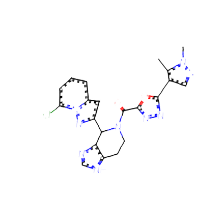 Cc1c(-c2nnc(C(=O)N3CCc4[nH]cnc4C3c3cc4cccc(Cl)n4n3)o2)cnn1C